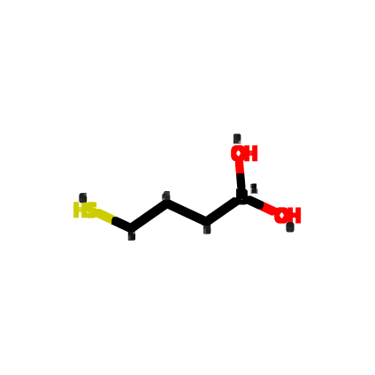 OB(O)CCCS